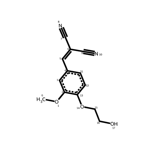 COc1cc(C=C(C#N)C#N)ccc1OCCO